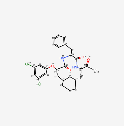 CC(C)[C@H](NC(=O)[C@H](Cc1ccccc1)NC(=O)[C@H](CC1CCCCC1)Oc1cc(Cl)cc(Cl)c1)C(=O)C(F)(F)F